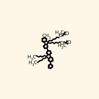 CCCCCCC1(CCCCCC)c2cc(-c3ccccc3)ccc2-c2ccc(-c3ccc4c(c3)C(CCCCCCOCC3(C)COC3)(CCCCCCOCC3(C)COC3)c3cc(C)ccc3-4)cc21